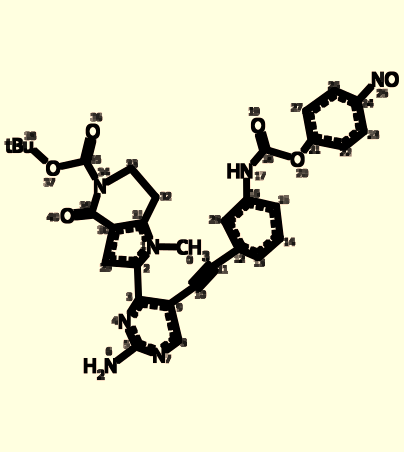 Cn1c(-c2nc(N)ncc2C#Cc2cccc(NC(=O)Oc3ccc(N=O)cc3)c2)cc2c1CCN(C(=O)OC(C)(C)C)C2=O